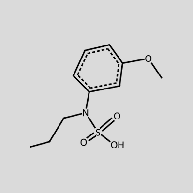 CCCN(c1cccc(OC)c1)S(=O)(=O)O